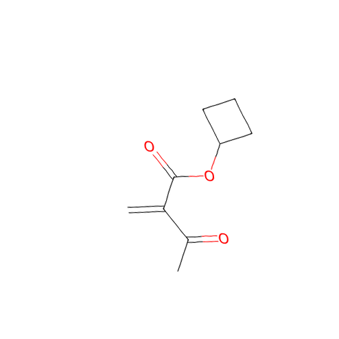 C=C(C(C)=O)C(=O)OC1CCC1